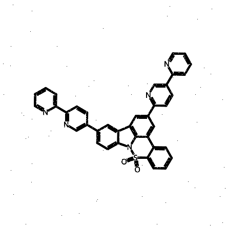 O=S1(=O)c2ccccc2-c2cc(-c3ccc(-c4ccccn4)cn3)cc3c4cc(-c5ccc(-c6ccccn6)nc5)ccc4n1c23